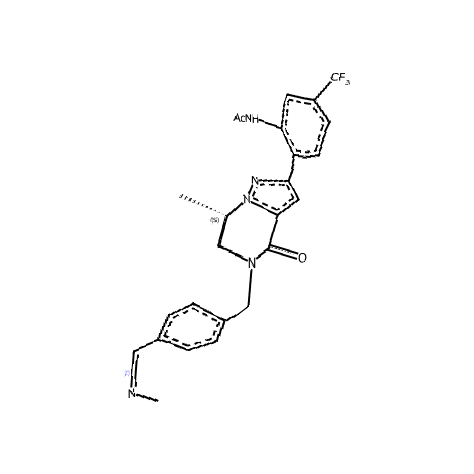 C/N=C\c1ccc(CN2C[C@H](C)n3nc(-c4ccc(C(F)(F)F)cc4NC(C)=O)cc3C2=O)cc1